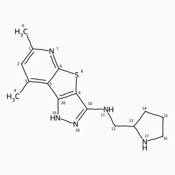 Cc1cc(C)c2c(n1)sc1c(NCC3CCCN3)n[nH]c12